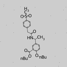 CCCCOC(=O)c1cc(C(C)NC(=O)Cc2ccc(S(C)(=O)=O)cc2)ccc1OCCCC